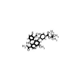 COc1cc(Nc2c(C(N)=O)cnc3c(C)cc(SC4CCN(C(=O)OC(C)(C)C)CC4)cc23)ccc1F